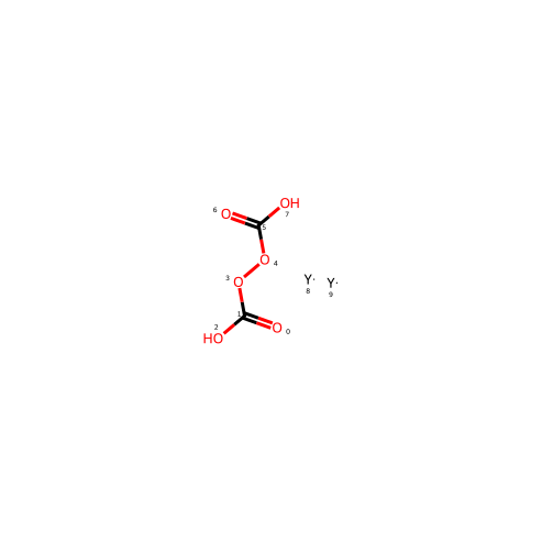 O=C(O)OOC(=O)O.[Y].[Y]